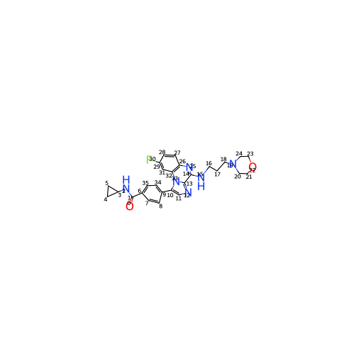 O=C(NC1CC1)c1ccc(-c2cnc3c(NCCCN4CCOCC4)nc4ccc(F)cc4n23)cc1